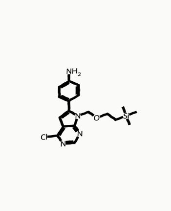 C[Si](C)(C)CCOCn1c(-c2ccc(N)cc2)cc2c(Cl)ncnc21